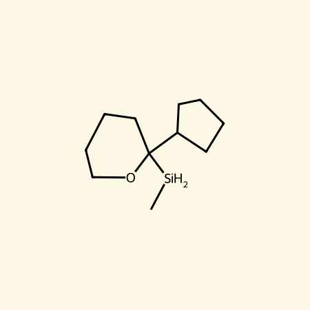 C[SiH2]C1(C2CCCC2)CCCCO1